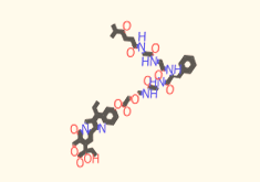 CCc1c2c(nc3ccc(OC(=O)COCNC(=O)CNC(=O)[C@H](Cc4ccccc4)NC(=O)CNC(=O)CNC(=O)CCC(=O)C(C)C)cc13)-c1cc3c(c(=O)n1C2)COC(=O)[C@]3(O)CC